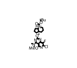 COc1nc(Cl)c(F)c2nc(OC[C@]34CCC[C@H]3N(C(=O)OC(C)(C)C)CCC4)nc(N(C)C)c12